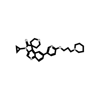 O=C1N(C2CC2)c2cnc3ccc(-c4ccc(OCCCN5CCCCC5)nc4)cc3c2C12CCOCC2